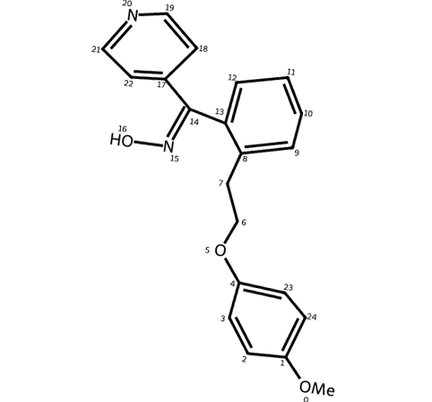 COc1ccc(OCCc2ccccc2C(=NO)c2ccncc2)cc1